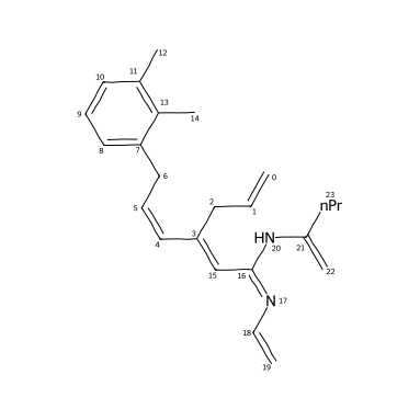 C=CCC(/C=C\Cc1cccc(C)c1C)=C\C(=N/C=C)NC(=C)CCC